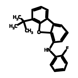 CC(C)(C)c1cccc2c1oc1c(Nc3ccccc3F)cccc12